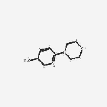 O=C(O)C1C=CC(N2CCOCC2)=NC1